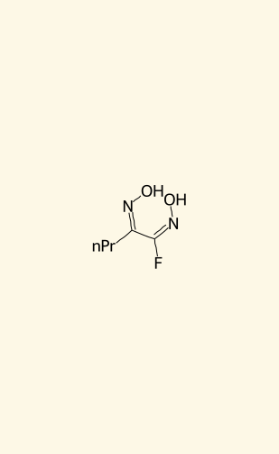 CCCC(=N/O)/C(F)=N\O